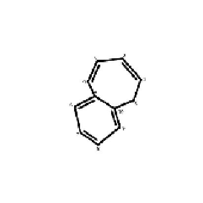 [C]1C=CC=Cc2ccccc21